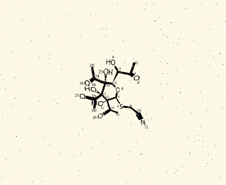 CC(=O)C(O)[C@H]1O[C@@H](SCC#N)[C@@](O)(C(C)=O)[C@](O)(C(C)=O)[C@]1(O)C(C)=O